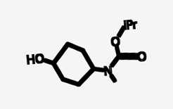 CC(C)OC(=O)N(C)C1CCC(O)CC1